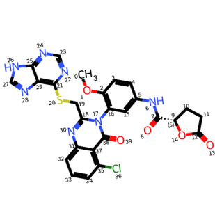 COc1ccc(NC(=O)[C@@H]2CCC(=O)O2)cc1-n1c(CSc2ncnc3[nH]cnc23)nc2cccc(Cl)c2c1=O